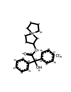 O=C(OC1CC[N+]2(CCCC2)C1)C(O)(c1ccccc1)c1ccccc1.[Cl-]